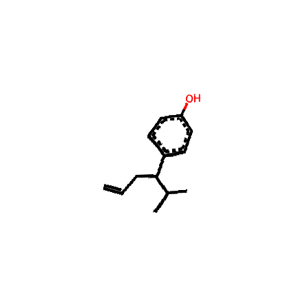 C=CCC(c1ccc(O)cc1)C(C)C